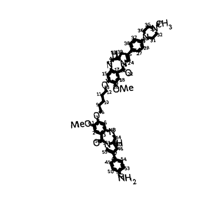 COc1cc2c(cc1OCCCCCOc1cc3c(cc1OC)C(=O)N1C=C(c4ccc(N5CCN(C)CC5)cc4)C[C@H]1C=N3)N=C[C@@H]1CC(c3ccc(N)cc3)=CN1C2=O